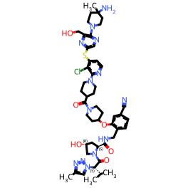 Cc1cn([C@H](C(=O)N2C[C@H](O)C[C@H]2C(=O)NCc2ccc(C#N)cc2OC2CCN(C(=O)C3CCN(c4nccc(Sc5cnc(N6CCC(C)(N)CC6)c(CO)n5)c4Cl)CC3)CC2)C(C)C)nn1